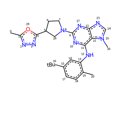 Cc1nnc(C2CCN(c3nc(Nc4cc(C(C)(C)C)ccc4C)c4c(ncn4C)n3)C2)o1